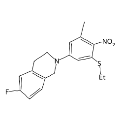 CCSc1cc(N2CCc3cc(F)ccc3C2)cc(C)c1[N+](=O)[O-]